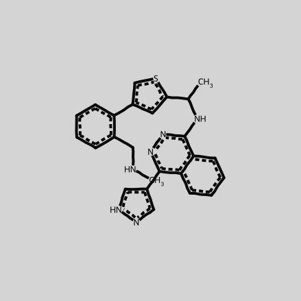 CNCc1ccccc1-c1csc(C(C)Nc2nnc(-c3cn[nH]c3)c3ccccc23)c1